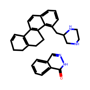 C1=CC2=C(CC1)CCc1c2ccc2cccc(CC3CNCCN3)c12.O=c1[nH]ncc2ccccc12